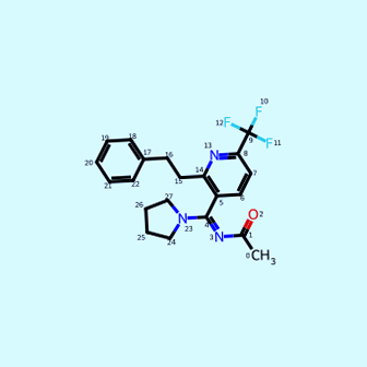 CC(=O)/N=C(\c1ccc(C(F)(F)F)nc1CCc1ccccc1)N1CCCC1